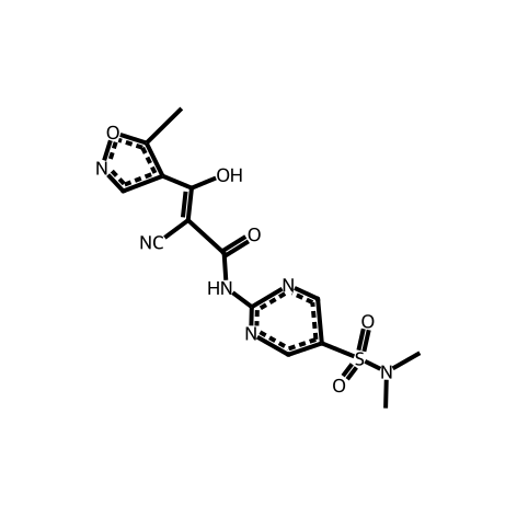 Cc1oncc1/C(O)=C(\C#N)C(=O)Nc1ncc(S(=O)(=O)N(C)C)cn1